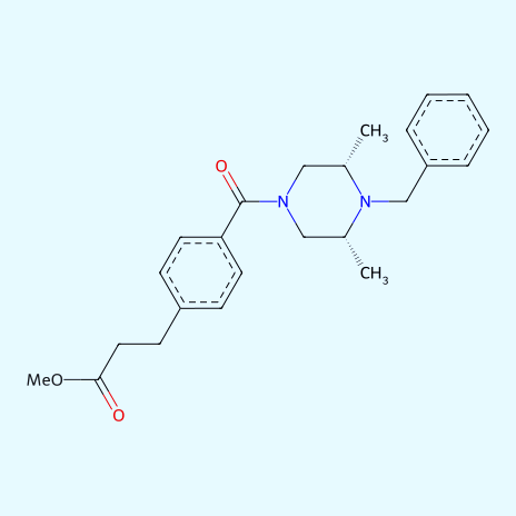 COC(=O)CCc1ccc(C(=O)N2C[C@@H](C)N(Cc3ccccc3)[C@@H](C)C2)cc1